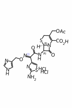 CC(=O)OCC1=C(C(=O)O)N2C(=O)[C@@H](NC(=O)/C(=N/OCc3c[nH]cn3)c3csc(N)n3)[C@H]2SC1.Cl.Cl